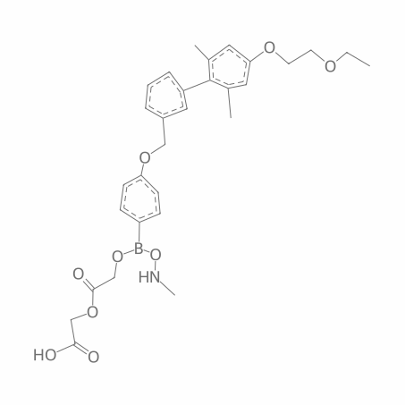 CCOCCOc1cc(C)c(-c2cccc(COc3ccc(B(OCC(=O)OCC(=O)O)ONC)cc3)c2)c(C)c1